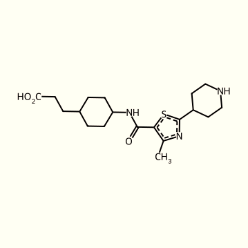 Cc1nc(C2CCNCC2)sc1C(=O)NC1CCC(CCC(=O)O)CC1